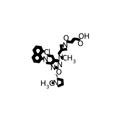 CN(CC1CN(C(=O)/C=C/C(=O)O)C1)c1nc(OC[C@@H]2CCCN2C)nc2c1CCN(c1cccc3cccc(Cl)c13)C2